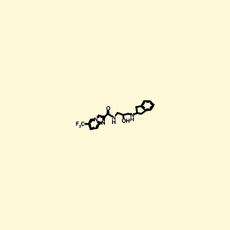 O=C(NCC(O)CNC1Cc2ccccc2C1)c1cn2cc(C(F)(F)F)ccc2n1